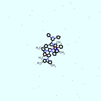 Cc1ccc2c(c1)c1cc(C)ccc1n2-c1ccc(-c2nc(-n3c4ccc(C)cc4c4cc(C)ccc43)cc(-c3ccccc3-c3cc(-c4cc(-c5ccccc5)nc(-c5ccccc5)c4)nc(-c4cc(-c5ccccc5)nc(-c5ccccc5)c4)c3)c2-n2c3ccc(C)cc3c3cc(C)ccc32)cc1